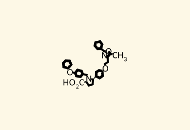 Cc1oc(-c2ccccc2)nc1CCOc1ccc([C@H]2CC[C@@H](C(=O)O)N2Cc2ccc(Oc3ccccc3)cc2)cc1